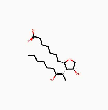 CCCCCC/C(O)=C(/C)[C@H]1[C@H](O)CO[C@@H]1CCCCCCC(=O)O